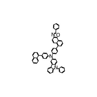 c1ccc(-c2nc3ccc4c(-c5ccc(N(c6ccc(-c7cccc8ccccc78)cc6)c6ccc7c(c6)c6ccccc6n7-c6ccccc6)cc5)cccc4c3o2)cc1